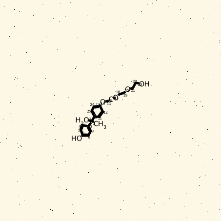 CC(C)(c1ccc(O)cc1)c1ccc(OCCOCCOCCO)cc1